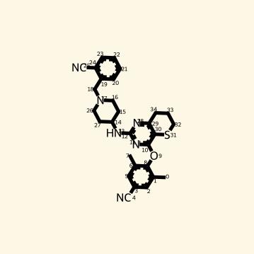 Cc1cc(C#N)cc(C)c1Oc1nc(NC2CCN(Cc3ccccc3C#N)CC2)nc2c1SCCC2